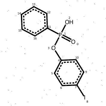 O=P(O)(Oc1ccc(I)cc1)c1ccccc1